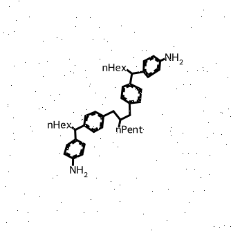 CCCCCCC(c1ccc(N)cc1)c1ccc(CC(CCCCC)Cc2ccc(C(CCCCCC)c3ccc(N)cc3)cc2)cc1